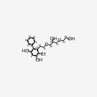 CCc1c(O)cc(O)c(-c2ccccc2)c1CCOCC(O)COCCO